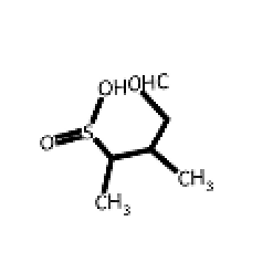 CC(CC=O)C(C)S(=O)O